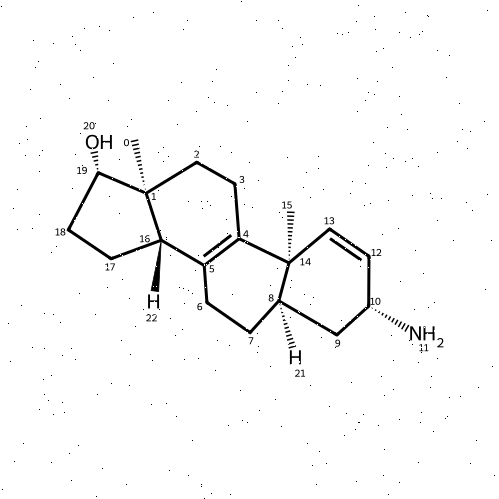 C[C@]12CCC3=C(CC[C@@H]4C[C@@H](N)C=C[C@]34C)[C@@H]1CC[C@@H]2O